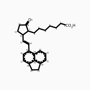 O=C(O)CCCCCCC1C(=O)CCC1/C=C/c1ccc2c3c(cccc13)CC2